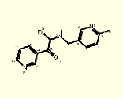 CCC(NCc1ccc(C)nc1)C(=O)c1cccnc1